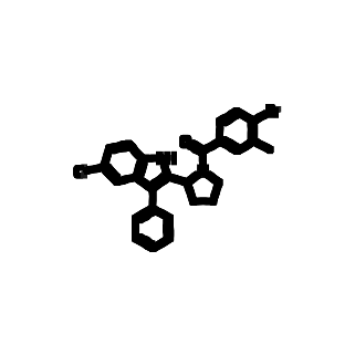 Cc1cc(C(=O)N2CCCC2c2[nH]c3ccc(Cl)cc3c2-c2ccccc2)ccc1Br